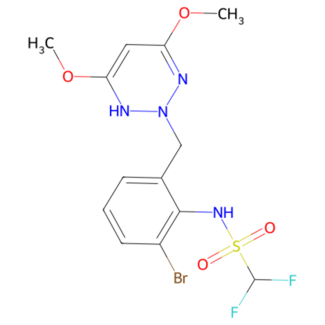 COC1=CC(OC)=NN(Cc2cccc(Br)c2NS(=O)(=O)C(F)F)N1